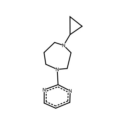 c1cnc(N2CCCN(C3CC3)CC2)nc1